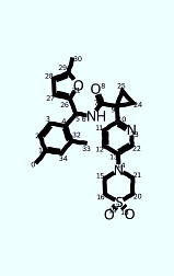 Cc1ccc(C(NC(=O)C2(c3ccc(N4CCS(=O)(=O)CC4)cn3)CC2)c2ccc(C)o2)c(C)c1